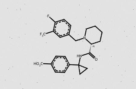 O=C(O)c1ccc(C2(NC(=O)[C@H]3CCCCN3Cc3ccc(F)c(C(F)(F)F)c3)CC2)cc1